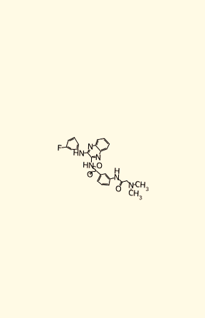 CN(C)CC(=O)Nc1cccc(S(=O)(=O)Nc2nc3ccccc3nc2Nc2cccc(F)c2)c1